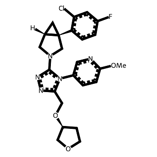 COc1ccc(-n2c(CO[C@H]3CCOC3)nnc2N2C[C@@H]3C[C@]3(c3ccc(F)cc3Cl)C2)cn1